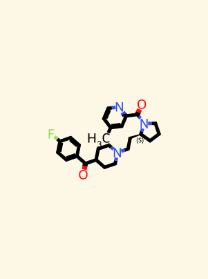 Cc1ccnc(C(=O)N2CCC[C@H]2CCN2CCC(C(=O)c3ccc(F)cc3)CC2)c1